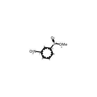 COS(=O)c1cccc([N+](=O)[O-])c1